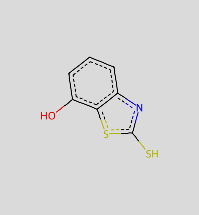 Oc1cccc2nc(S)sc12